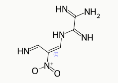 N=C/C(=C\NC(=N)C(=N)N)[N+](=O)[O-]